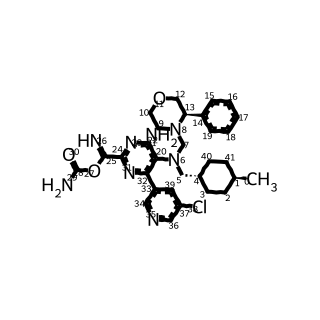 C[C@H]1CC[C@H](CN(CN2CCOC[C@H]2c2ccccc2)c2c(N)nc(C(=N)OC(N)=O)nc2-c2cncc(Cl)c2)CC1